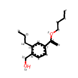 C=C(OCCCC)c1ccc(CO)c(CCC)c1